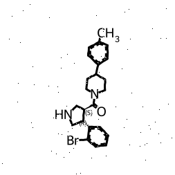 Cc1ccc(C2CCN(C(=O)[C@@H]3CNC[C@H]3c3ccccc3Br)CC2)cc1